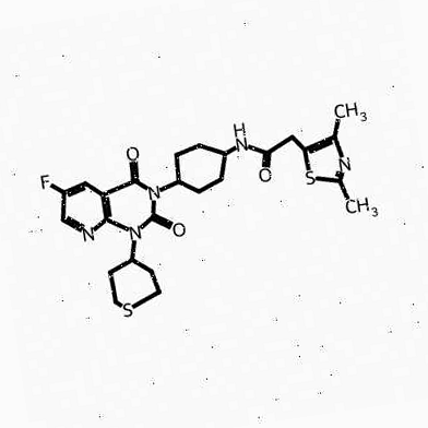 Cc1nc(C)c(CC(=O)NC2CCC(n3c(=O)c4cc(F)cnc4n(C4CCSCC4)c3=O)CC2)s1